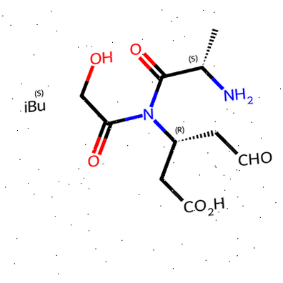 CC[C@H](C)C(O)C(=O)N(C(=O)[C@H](C)N)[C@H](CC=O)CC(=O)O